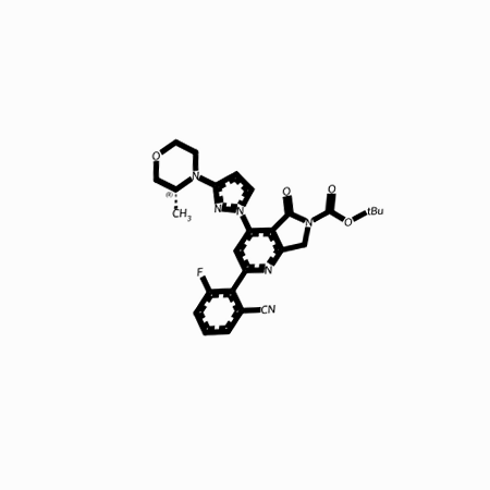 C[C@@H]1COCCN1c1ccn(-c2cc(-c3c(F)cccc3C#N)nc3c2C(=O)N(C(=O)OC(C)(C)C)C3)n1